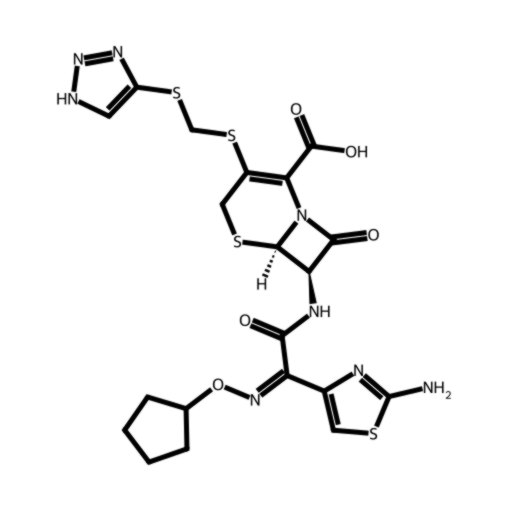 Nc1nc(/C(=N/OC2CCCC2)C(=O)N[C@@H]2C(=O)N3C(C(=O)O)=C(SCSc4c[nH]nn4)CS[C@H]23)cs1